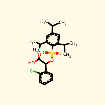 CC(C)c1cc(C(C)C)c(S(=O)(=O)OC(C(=O)O)c2ccccc2Cl)c(C(C)C)c1